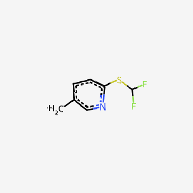 [CH2]c1ccc(SC(F)F)nc1